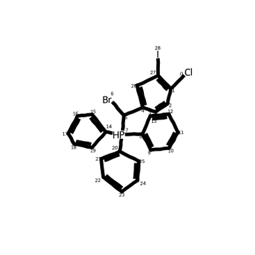 Clc1ccc(C(Br)[PH](c2ccccc2)(c2ccccc2)c2ccccc2)cc1I